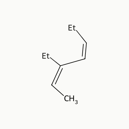 C/C=C(\C=C/CC)CC